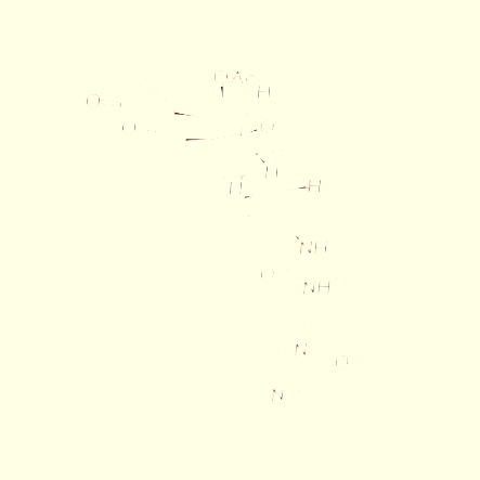 CC(=O)O[C@H]1[C@H]2O[C@]23[C@@H]2CC[C@@H]4C[C@@H](NC(=O)NCCN5CCN(C)CC5=O)CC[C@]4(C)[C@H]2CC[C@]3(C)[C@H]1c1ccc(=O)oc1